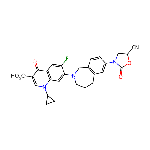 N#CC1CN(c2ccc3c(c2)CCCN(c2cc4c(cc2F)c(=O)c(C(=O)O)cn4C2CC2)C3)C(=O)O1